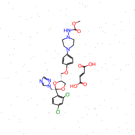 COC(=O)NN1CCN(c2ccc(OC[C@@H]3CO[C@@](Cn4cncn4)(c4ccc(Cl)cc4Cl)O3)cc2)CC1.O=C(O)/C=C/C(=O)O